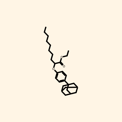 CCCCCCCCC(Oc1ccc(C23CC4CC(CC(C4)C2)C3)cc1)C(=O)OCC